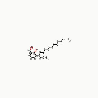 CCCCCCCCCCCCC(CC)C1C=CC=C([C]=O)C1=O